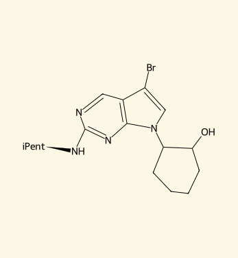 CCC[C@H](C)Nc1ncc2c(Br)cn(C3CCCCC3O)c2n1